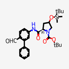 CC(C)(C)OC(=O)N1CC(O[Si](C)(C)C(C)(C)C)C[C@@H]1C(=O)Nc1ccc(C=O)c(-c2ccccc2)c1